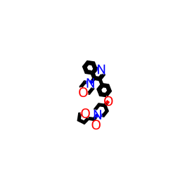 O=C(C1CCCO1)N1CCC(Oc2ccc(-c3cnc4ccccc4c3N3CCOCC3)cc2)CC1